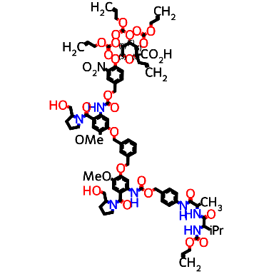 C=CCOC(=O)NC(C(=O)NC(C)C(=O)Nc1ccc(COC(=O)Nc2cc(OCc3cccc(COc4cc(NC(=O)OCc5ccc(O[C@H]6O[C@](CC=C)(C(=O)O)[C@@H](OC(=O)OCC=C)[C@H](OC(=O)OCC=C)[C@H]6OC(=O)OCC=C)c([N+](=O)[O-])c5)c(C(=O)N5CCCC5CO)cc4OC)c3)c(OC)cc2C(=O)N2CCCC2CO)cc1)C(C)C